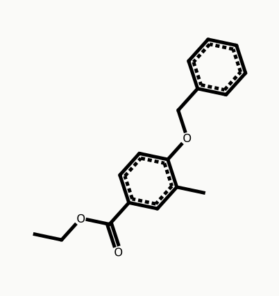 CCOC(=O)c1ccc(OCc2ccccc2)c(C)c1